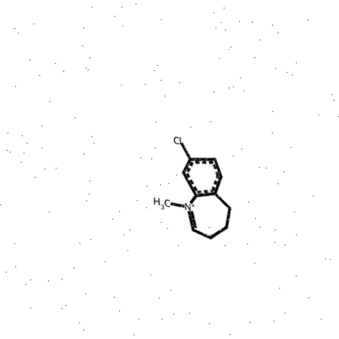 C[N+]1=CCCCc2ccc(Cl)cc21